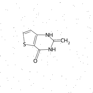 C=C1NC(=O)c2sccc2N1